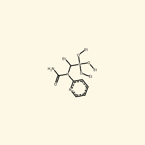 CCO[Si](OCC)(OCC)C(CC)N(C(N)=O)c1ccccn1